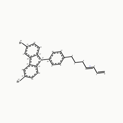 C=C/C=C/CCCc1ccc(-n2c3ccc(Br)cc3c3cc(Br)ccc32)cc1